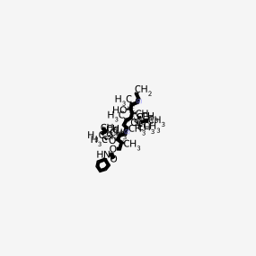 C=C/C=C\[C@H](C)[C@H](O)[C@@H](C)[C@H](O[Si](C)(C)C(C)(C)C)[C@@H](C)C/C(C)=C\[C@H](C)[C@H](O[Si](C)(C)C(C)(C)C)[C@@H](C)COC(=O)NC1CCCCC1